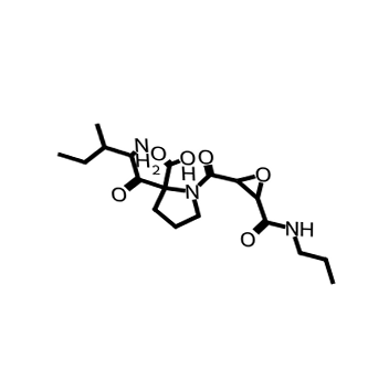 CCCNC(=O)C1OC1C(=O)N1CCCC1(C(=O)O)C(=O)C(N)C(C)CC